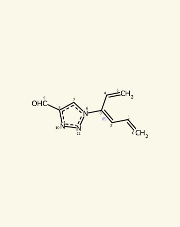 C=C/C=C(\C=C)n1cc(C=O)nn1